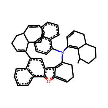 CC1CCCC2CC=CC(N(C3=c4c(oc5c4cc(C4=CCCC6C=CC=CC46)c4ccccc45)=CCC3)c3cccc4ccccc34)=C12